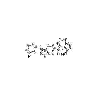 Oc1ccn2ncnc(Nc3ccc4c(cnn4Cc4cccc(F)c4)c3)c12